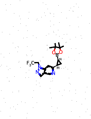 CC1(C)OB([C@H]2C[C@H]2c2cc3c(cn2)cnn3CC(F)(F)F)OC1(C)C